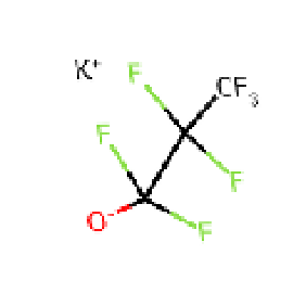 [K+].[O-]C(F)(F)C(F)(F)C(F)(F)F